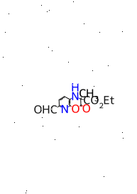 CCOC(=O)C1(C)Nc2ccc(C=O)nc2OC1=O